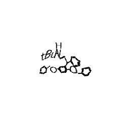 CC(C)(C)NCCC(c1ccccc1)c1cc(OCc2ccccc2)ccc1OCc1ccccc1